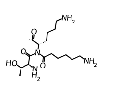 C[C@@H](O)[C@H](N)C(=O)N(C(=O)CCCCCN)[C@H]([C]=O)CCCCN